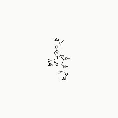 CCCCOC(=O)NCC(O)[C@@H]1C[C@@H](O[Si](C)(C)C(C)(C)C)CN1C(=O)OC(C)(C)C